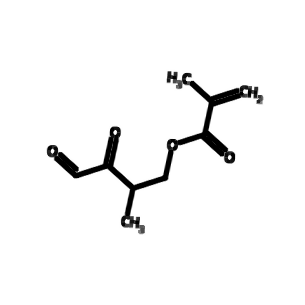 C=C(C)C(=O)OCC(C)C(=O)C=O